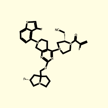 C=C(F)C(=O)N1CCN(c2nc(OCC34CCCN3C[C@H](F)C4)nc3c2CCN(c2cccc4scc(F)c24)C3)C[C@@H]1CC#N